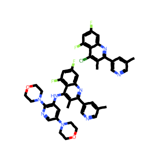 Cc1cncc(-c2nc3cc(F)cc(F)c3c(Cl)c2C)c1.Cc1cncc(-c2nc3cc(F)cc(F)c3c(Nc3cc(N4CCOCC4)cnc3N3CCOCC3)c2C)c1